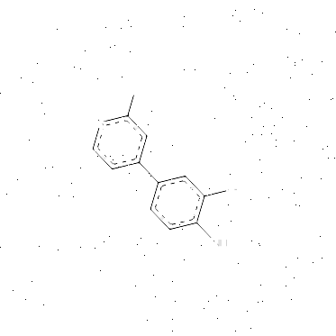 Cc1cc(-c2ccc(N)c(O)c2)ccn1